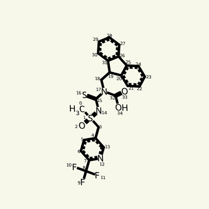 CS(=O)(Cc1ccc(C(F)(F)F)nc1)=NC(=S)N(CC1c2ccccc2-c2ccccc21)C(=O)O